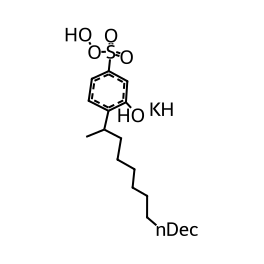 CCCCCCCCCCCCCCCCC(C)c1ccc(S(=O)(=O)OO)cc1O.[KH]